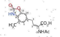 CC(=O)NC(=CCc1cc(C)c2[nH]c(=O)oc2c1)C(=O)O